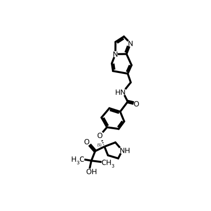 CC(C)(O)C(=O)[C@]1(Oc2ccc(C(=O)NCc3ccn4ccnc4c3)cc2)CCNC1